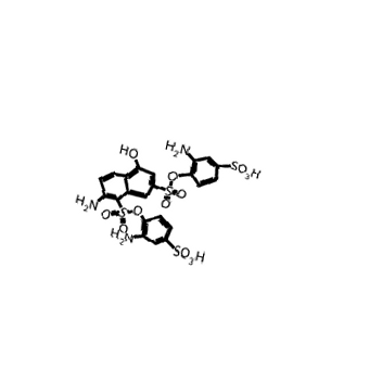 Nc1cc(S(=O)(=O)O)ccc1OS(=O)(=O)c1cc(O)c2ccc(N)c(S(=O)(=O)Oc3ccc(S(=O)(=O)O)cc3N)c2c1